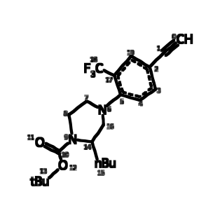 C#Cc1ccc(N2CCN(C(=O)OC(C)(C)C)C(CCCC)C2)c(C(F)(F)F)c1